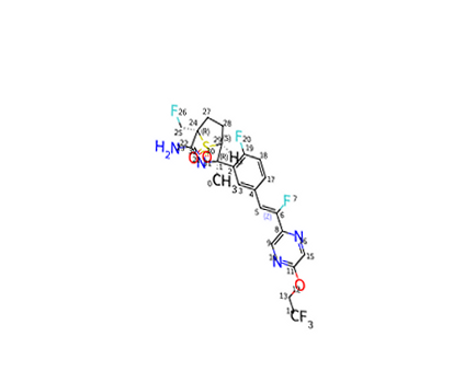 C[C@]1(c2cc(/C=C(\F)c3cnc(OCC(F)(F)F)cn3)ccc2F)N=C(N)[C@@]2(CF)CC[C@@H]1S2(=O)=O